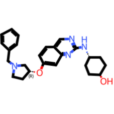 O[C@H]1CC[C@H](Nc2ncc3ccc(O[C@@H]4CCN(Cc5ccccc5)C4)cc3n2)CC1